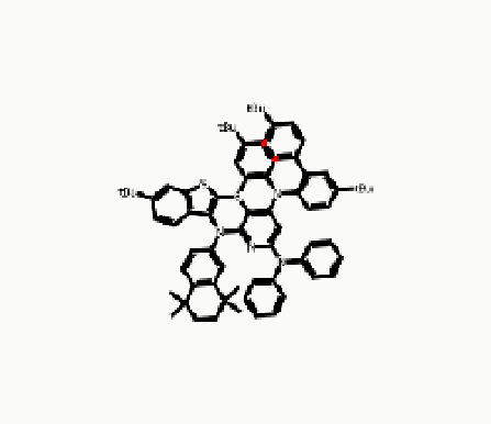 CC(C)(C)c1ccc(-c2cc(C(C)(C)C)ccc2N2c3ccc(C(C)(C)C)cc3B3c4sc5cc(C(C)(C)C)ccc5c4N(c4ccc5c(c4)C(C)(C)CCC5(C)C)c4nc(N(c5ccccc5)c5ccccc5)cc2c43)cc1